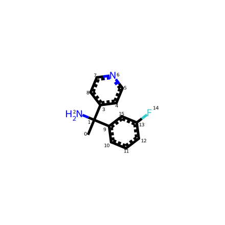 CC(N)(c1ccncc1)c1cccc(F)c1